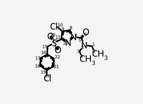 CCN(CC)C(=O)n1cc(Cl)c(S(=O)(=O)Cc2ccc(Cl)cc2)n1